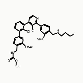 COc1cc(-c2nccc(-c3cccc(-c4ccc(CNC(=O)OC(C)(C)C)c(OC)n4)c3Cl)c2Cl)ccc1CNCCCF